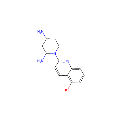 NC1CCN(c2ccc3c(O)cccc3n2)C(N)C1